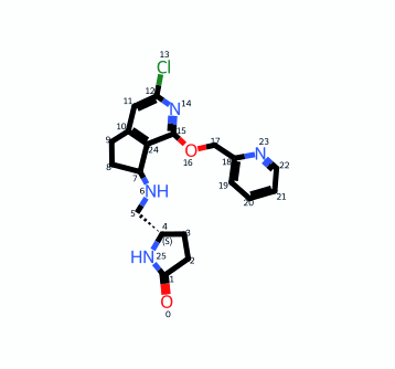 O=C1CC[C@@H](CNC2CCc3cc(Cl)nc(OCc4ccccn4)c32)N1